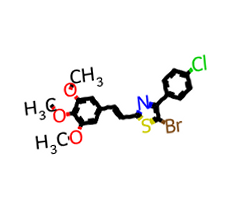 COc1cc(C=Cc2nc(-c3ccc(Cl)cc3)c(Br)s2)cc(OC)c1OC